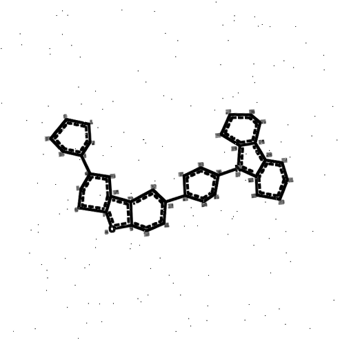 c1ccc(-c2ccc3oc4ccc(-c5ccc(-n6c7ccccc7c7ccccc76)cc5)cc4c3c2)cc1